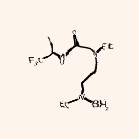 BN(CC)CCN(CC)C(=O)OC(I)C(F)(F)F